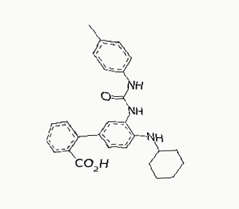 Cc1ccc(NC(=O)Nc2cc(-c3ccccc3C(=O)O)ccc2NC2CCCCC2)cc1